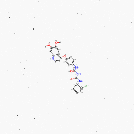 COc1cc2nccc(Oc3ccc(NC(=O)NC(=O)Nc4ccccc4F)cc3)c2cc1OC